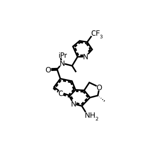 CC(C)N(C(=O)c1ccc2nc(N)c3c(c2c1)CO[C@@H]3C)C(C)c1ccc(C(F)(F)F)cn1